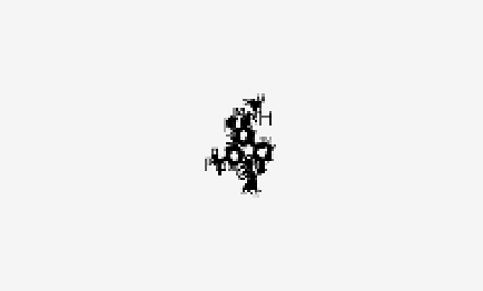 O=S(=O)(c1cccc(C(F)(F)F)c1)N(Cc1cccc(-c2cc(F)c3ncnc(NC4CC4)c3c2)c1)C1CC1